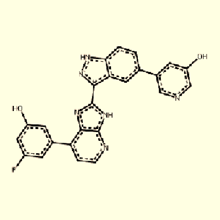 Oc1cncc(-c2ccc3[nH]nc(-c4nc5c(-c6cc(O)cc(F)c6)ccnc5[nH]4)c3c2)c1